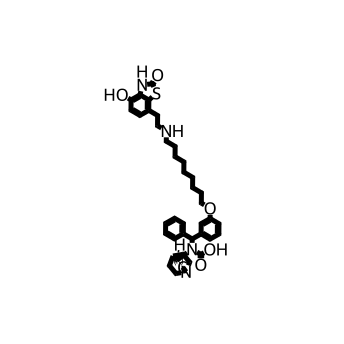 O=C(O)N(C(c1ccccc1)c1cccc(OCCCCCCCCCNCCc2ccc(O)c3[nH]c(=O)sc23)c1)[C@H]1CN2CCC1CC2